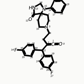 O=C=C(CCN1CCC2(CC1)C(=O)NCN2c1ccccc1)C(c1ccc(F)cc1)c1ccc(F)cc1